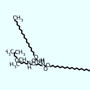 CCCCCCCCCCCCCCCCCCOC(=O)NCC(COCNCCCC(C)(C)OCCC(C)C)NC(=O)OCCCCCCCCCCCCCCCCCC